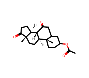 CC(=O)OC1CC[C@@]2(C)C(CC(=O)[C@@H]3[C@@H]2CC[C@]2(C)C(=O)CC[C@@H]32)C1